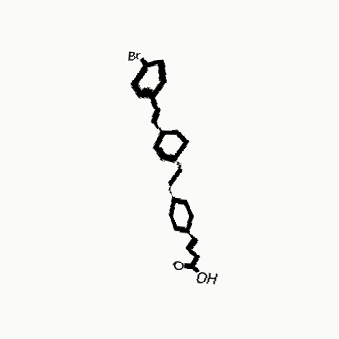 O=C(O)CC=C[C@H]1CC[C@H](CC[C@H]2CC[C@H](CCc3ccc(Br)cc3)CC2)CC1